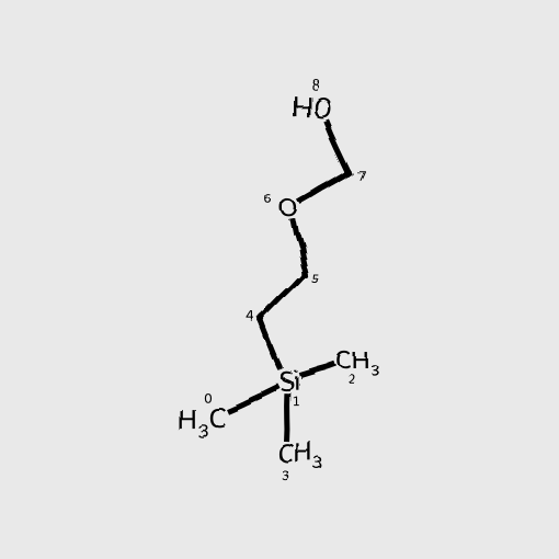 C[Si](C)(C)CCOCO